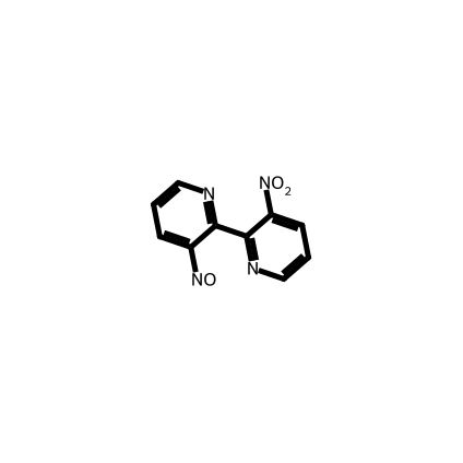 O=Nc1cccnc1-c1ncccc1[N+](=O)[O-]